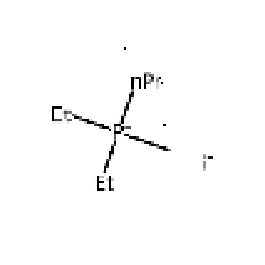 CCC[P+](C)(CC)CC.[I-]